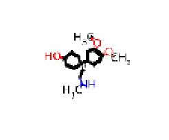 CNCC[C@@]1(c2ccc(OC)c(OC)c2)C=C[C@H](O)CC1